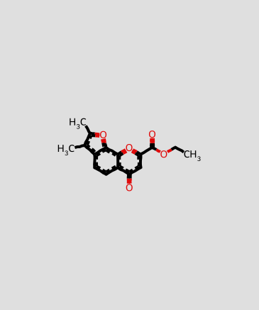 CCOC(=O)c1cc(=O)c2ccc3c(C)c(C)oc3c2o1